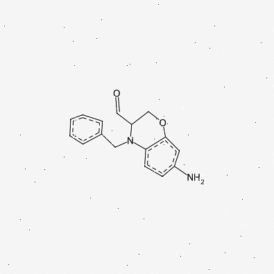 Nc1ccc2c(c1)OCC(C=O)N2Cc1ccccc1